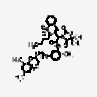 CCCCN1C(C(C(=O)Nc2cc(NCOC(CC)Oc3ccc(C)cc3C)ccc2C)N2C(=O)OC(C)(C)C2=O)=Nc2ccccc2S1(=O)=O